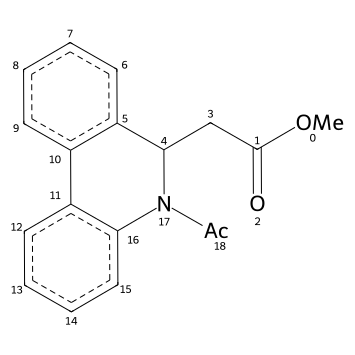 COC(=O)CC1c2ccccc2-c2ccccc2N1C(C)=O